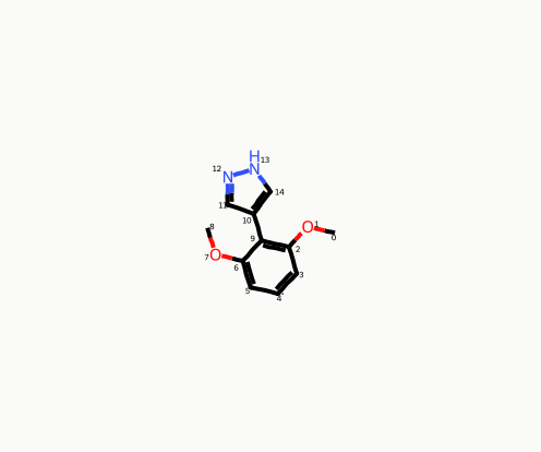 COc1c[c]cc(OC)c1-c1cn[nH]c1